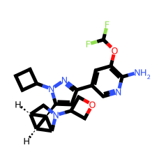 Nc1ncc(-c2cc([C@@]34C5[C@H]3[C@H]4CN5C3COC3)n(C3CCC3)n2)cc1OC(F)F